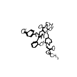 COC(=O)CN1CCC(Cn2c(=O)n(C)c(=O)c3c2nc(-c2ccccc2Cl)n3-c2ccc(Cl)cc2)CC1